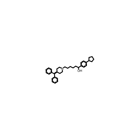 OC(CCCCCN1CCC(=C(c2ccccc2)c2ccccc2)CC1)c1ccc(C2CCCC2)cc1